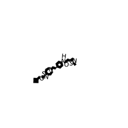 Cc1ncc(CC(=O)N[C@H]2CC[C@H](CCN3CCc4nc(OCC5CCC5)sc4CC3)CC2)s1